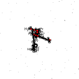 CCCC1O[C@@H]2C[C@H]3[C@@H]4C[C@H](F)C5=CC(=O)C=C[C@]5(C)[C@@]4(F)[C@@H](O)C[C@]3(C)[C@]2(C(=O)CNC(=O)[C@H](CCCNC(N)=O)NC(=O)[C@@H](NC(=O)[C@@H](CCCCCNC(=O)COC2CCCCCc3c2nnn3C2O[C@H](CO)[C@H](O)[C@H](O)[C@H]2O)NC(=O)CCOCCOCCOCCOCCN2C(=O)C=CC2=O)C(C)C)O1